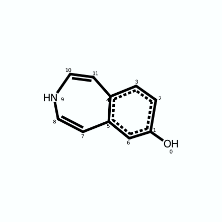 Oc1ccc2c(c1)C=CNC=C2